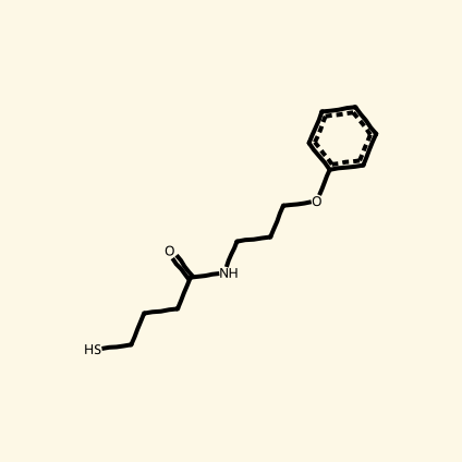 O=C(CCCS)NCCCOc1ccccc1